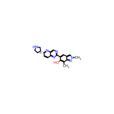 Cc1c(O)c(-c2ncc3nc([C@@H]4CCNC4)ccc3n2)cc2cn(C)nc12